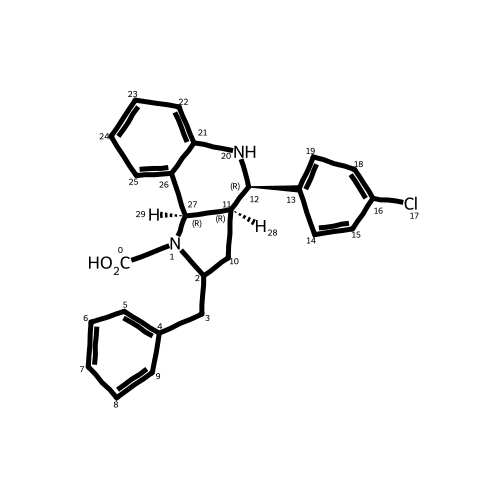 O=C(O)N1C(Cc2ccccc2)C[C@@H]2[C@H](c3ccc(Cl)cc3)Nc3ccccc3[C@@H]21